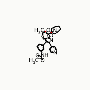 CCOC(=O)N1C2CCC1CC(c1ccnc3c(-c4cccc(NS(C)(=O)=O)c4)c(-c4ccncc4)nn13)C2